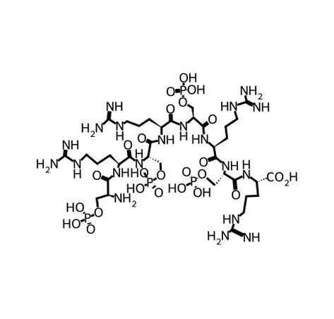 N=C(N)NCCC[C@H](NC(=O)[C@H](COP(=O)(O)O)NC(=O)[C@H](CCCNC(=N)N)NC(=O)[C@H](COP(=O)(O)O)NC(=O)[C@H](CCCNC(=N)N)NC(=O)[C@H](COP(=O)(O)O)NC(=O)[C@H](CCCNC(=N)N)NC(=O)[C@@H](N)COP(=O)(O)O)C(=O)O